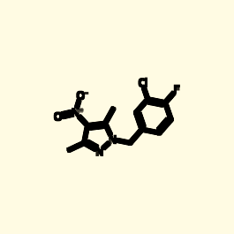 Cc1nn(Cc2ccc(F)c(Cl)c2)c(C)c1[N+](=O)[O-]